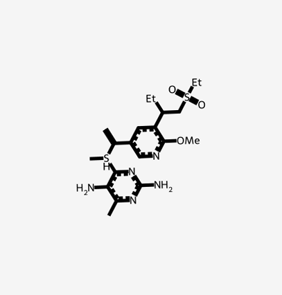 C=C(c1cnc(OC)c(C(CC)CS(=O)(=O)CC)c1)[SH](C)c1nc(N)nc(C)c1N